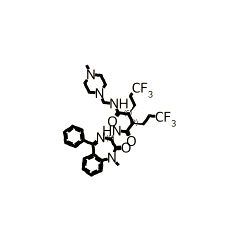 CN1CCN(CNC(=O)[C@@H](CCC(F)(F)F)[C@@H](CCC(F)(F)F)C(=O)N[C@H]2N=C(c3ccccc3)c3ccccc3N(C)C2=O)CC1